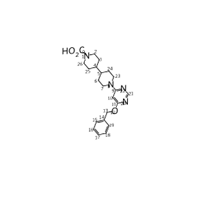 O=C(O)N1CCC(C2CCN(c3cc(OCc4ccccc4)ncn3)CC2)CC1